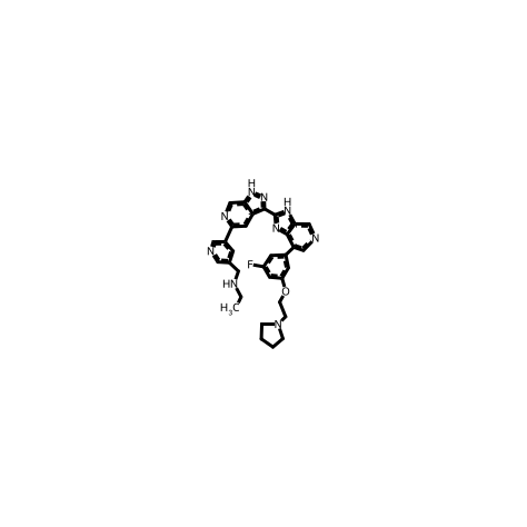 CCNCc1cncc(-c2cc3c(-c4nc5c(-c6cc(F)cc(OCCN7CCCC7)c6)cncc5[nH]4)n[nH]c3cn2)c1